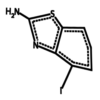 Nc1nc2c(I)cccc2s1